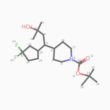 CC(C)(O)CC(C1CCN(C(=O)OC(C)(C)C)CC1)C1CCC(F)(F)C1